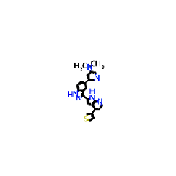 CN(C)c1cncc(-c2ccc3[nH]nc(-c4cc5c(-c6ccsc6)ccnc5[nH]4)c3c2)c1